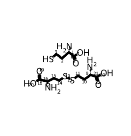 N[C@@H](CCS)C(=O)O.N[C@@H](CCSSCC[C@H](N)C(=O)O)C(=O)O